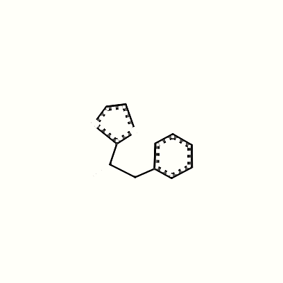 C[C@@H](Cc1ccccc1)c1ncc[nH]1